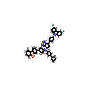 Fc1ccc2c(c1)c1cc(F)ccc1n2-c1ccc(-c2ccc(N(c3ccc(-c4ccccc4)cc3)c3ccc(-c4ccc5c(c4)oc4ccccc45)cc3)c3nsnc23)cc1